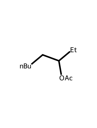 CCCCCC(CC)OC(C)=O